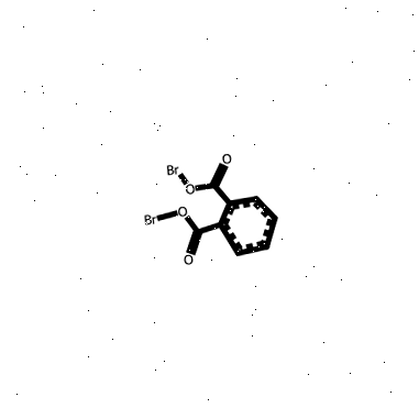 O=C(OBr)c1ccccc1C(=O)OBr